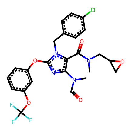 CN(CC1CO1)C(=O)c1c(N(C)C=O)nc(Oc2cccc(OC(F)(F)F)c2)n1Cc1ccc(Cl)cc1